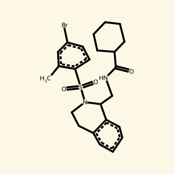 Cc1cc(Br)ccc1S(=O)(=O)N1CCc2ccccc2C1CNC(=O)C1CCCCC1